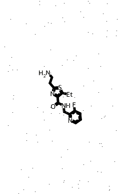 CCc1sc(CCN)nc1C(=O)NCc1ncccc1F